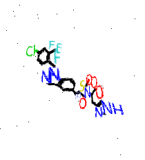 COC(=O)C(Cc1c[nH]cn1)N1C(=O)S/C(=C\c2ccc3c(cnn3Cc3ccc(Cl)cc3C(F)(F)F)c2)C1=O